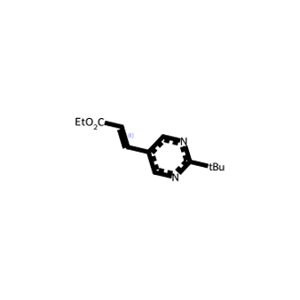 CCOC(=O)/C=C/c1cnc(C(C)(C)C)nc1